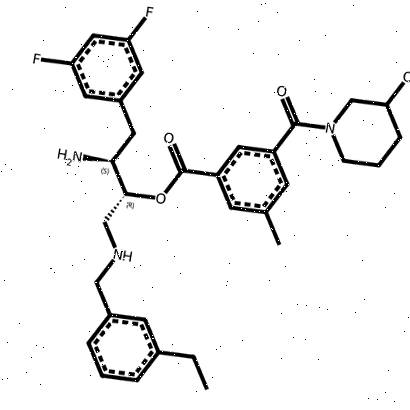 CCc1cccc(CNC[C@@H](OC(=O)c2cc(C)cc(C(=O)N3CCCC(O)C3)c2)[C@@H](N)Cc2cc(F)cc(F)c2)c1